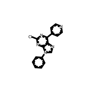 Clc1nc(-c2ccncc2)c2ncn(-c3ccccc3)c2n1